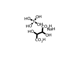 O=C(O)C(O)C(O)C(=O)O.[NaH].[OH][Ti]([OH])([OH])[OH]